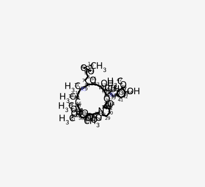 CCS(=O)(=O)CCC[C@@H]1/C=C(\C)C[C@H](C)C[C@H](OC)[C@H]2O[C@@](O)(C(=O)C(=O)N3CCCC[C@H]3C(=O)O[C@H](/C(C)=C/[C@@H]3CC[C@@H](O)[C@H](OC)C3)[C@H](C)[C@@H](O)CC1=O)[C@H](C)C[C@@H]2OC